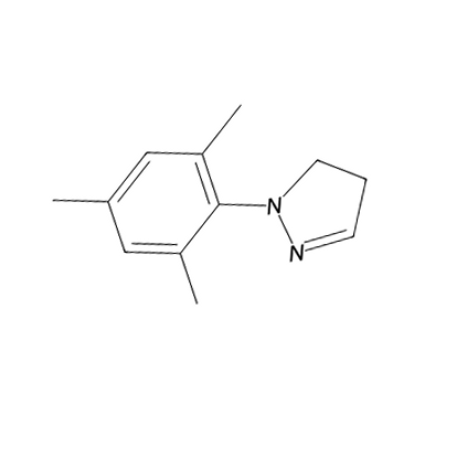 Cc1cc(C)c(N2CCC=N2)c(C)c1